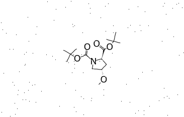 CO[C@H]1C[C@H](C(=O)OC(C)(C)C)N(C(=O)OC(C)(C)C)C1